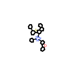 c1ccc(-c2nc(-c3ccc4oc5ccccc5c4c3)nc(-c3cc4ccc5ccccc5c4c4sc5c(-c6ccccc6)cccc5c34)n2)cc1